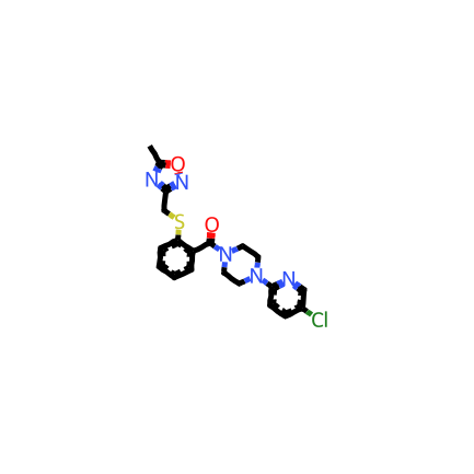 Cc1nc(CSc2ccccc2C(=O)N2CCN(c3ccc(Cl)cn3)CC2)no1